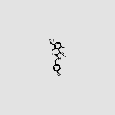 CCOC(C(=O)NCc1ccc(C#N)cc1)c1c(F)ccc(CO)c1F